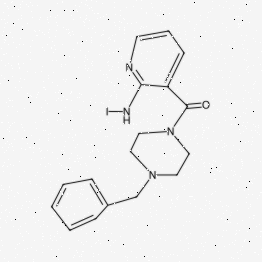 O=C(c1cccnc1NI)N1CCN(Cc2ccccc2)CC1